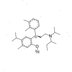 [2H]Oc1cc(C)c(C(C)C)cc1[C@H](CCN(C(C)C)C(C)CC)c1cccc(C)c1C